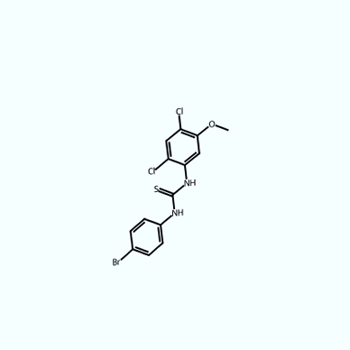 COc1cc(NC(=S)Nc2ccc(Br)cc2)c(Cl)cc1Cl